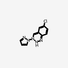 Clc1ccc2c(c1)=CN(n1cccn1)NN=2